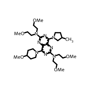 COCCN(CCOC)c1nc(N2CCC(C)C2)c2nc(N(CCOC)CCOC)nc(N3CCC(OC)CC3)c2n1